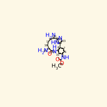 COC(=O)Nc1ccc2c(c1)NC(=O)[C@H](N)CCC[C@H](N)c1ncc-2[nH]1